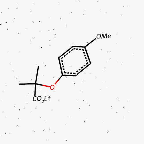 CCOC(=O)C(C)(C)Oc1ccc(OC)cc1